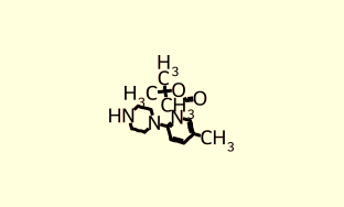 CC(C)(C)OC=O.Cc1ccc(N2CCNCC2)nc1